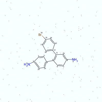 Nc1ccc(-c2ccc(N)cc2-c2ccc(Br)cc2)cc1